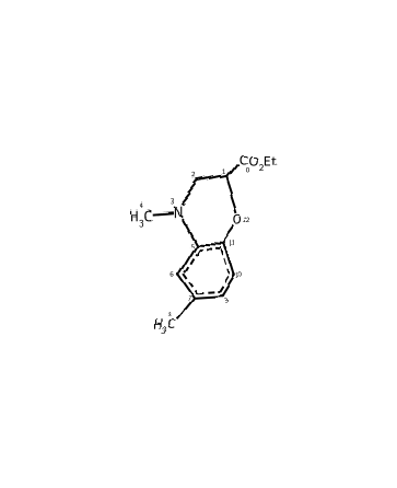 CCOC(=O)C1CN(C)c2cc(C)ccc2O1